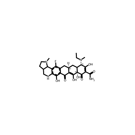 CCN(C)[C@@H]1C(O)=C(C(N)=O)C(=O)[C@@]2(O)C(O)=C3C(=O)c4c(O)c5c(c(F)c4C[C@H]3CC12)C1C(CCN1C)CN5